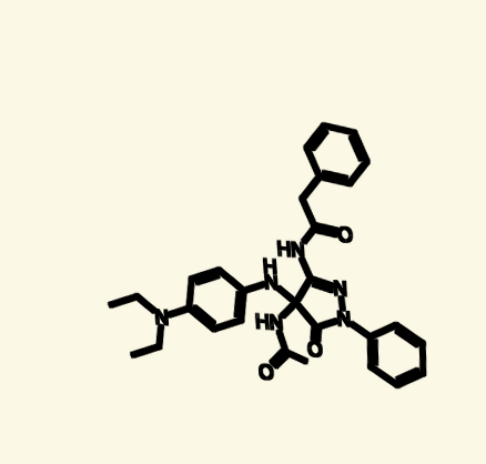 CCN(CC)c1ccc(NC2(NC(C)=O)C(=O)N(c3ccccc3)N=C2NC(=O)Cc2ccccc2)cc1